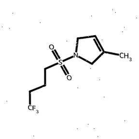 CC1=CCN(S(=O)(=O)CCCC(F)(F)F)C1